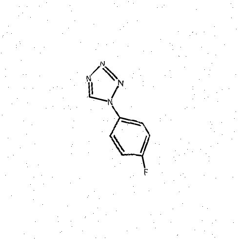 Fc1ccc(-n2[c]nnn2)cc1